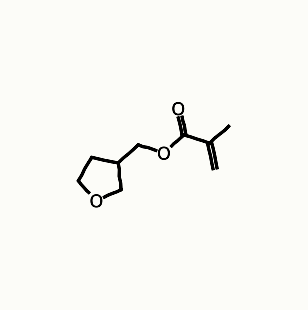 C=C(C)C(=O)OCC1CCOC1